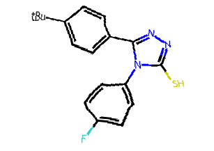 CC(C)(C)c1ccc(-c2nnc(S)n2-c2ccc(F)cc2)cc1